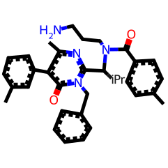 Cc1ccc(C(=O)N(CCCN)C(c2nc(C)c(-c3cccc(C)c3)c(=O)n2Cc2ccccc2)C(C)C)cc1